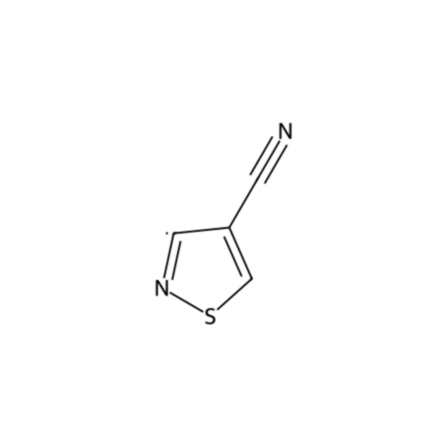 N#Cc1[c]nsc1